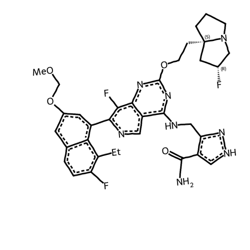 CCc1c(F)ccc2cc(OCOC)cc(-c3ncc4c(NCc5n[nH]cc5C(N)=O)nc(OCC[C@]56CCCN5C[C@H](F)C6)nc4c3F)c12